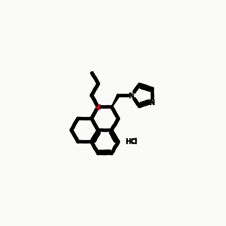 CCCC[C@]12CCCc3cccc(c31)C[C@H](Cn1ccnc1)C2.Cl